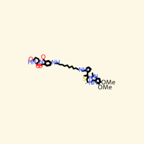 COc1cc2nc(C)nc(N[C@H](C)c3cc(-c4ccccc4CNCCCCCCCCCCCNc4ccc5c(c4)C(=O)N(C4CCC(=O)NC4=O)C5=O)cs3)c2cc1OC